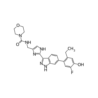 CCc1cc(O)c(F)cc1-c1ccc2c(-c3nc(CNC(=O)N4CCOCC4)c[nH]3)n[nH]c2c1